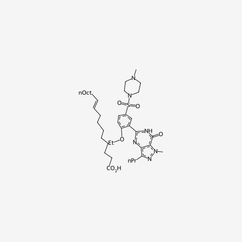 CCCCCCCCC=CCCCCCCCC(=O)O.CCCc1nn(C)c2c(=O)[nH]c(-c3cc(S(=O)(=O)N4CCN(C)CC4)ccc3OCC)nc12